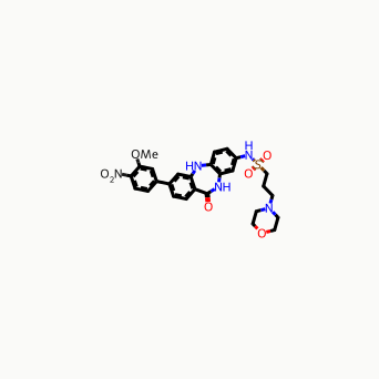 COc1cc(-c2ccc3c(c2)Nc2ccc(NS(=O)(=O)CCCN4CCOCC4)cc2NC3=O)ccc1[N+](=O)[O-]